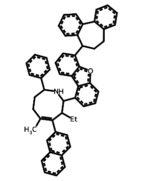 CCC1/C(c2ccc3ccccc3c2)=C(/C)CCC(c2ccccc2)NC1c1cccc2oc3c(C4CCc5ccccc5-c5ccccc54)cccc3c12